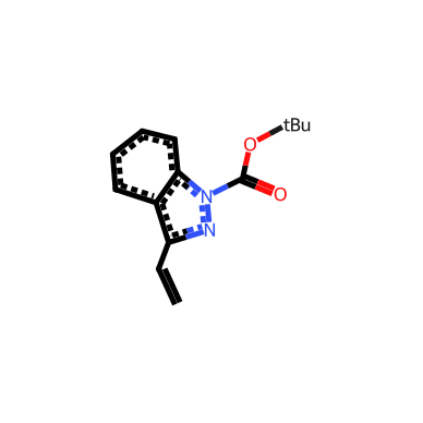 C=Cc1nn(C(=O)OC(C)(C)C)c2ccccc12